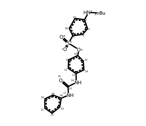 CCCCNc1ccc(S(=O)(=O)Oc2ccc(NC(=O)Nc3ccccc3)cc2)cc1